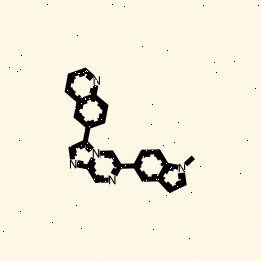 Cn1ccc2cc(-c3cn4c(-c5ccc6ncccc6c5)cnc4cn3)ccc21